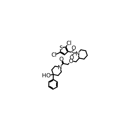 O=C(COCC1CCCCN1S(=O)(=O)c1cc(Cl)sc1Cl)N1CCC(O)(c2ccccc2)CC1